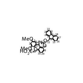 COc1cc(OC)cc(C(NC(=O)OCC2c3ccccc3-c3ccccc32)c2ccccc2OCC(=O)O)c1